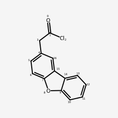 O=C(Cl)Cc1ccc2oc3ccccc3c2c1